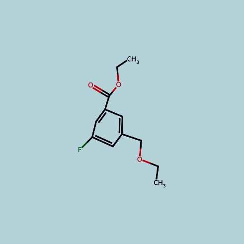 CCOCc1cc(F)cc(C(=O)OCC)c1